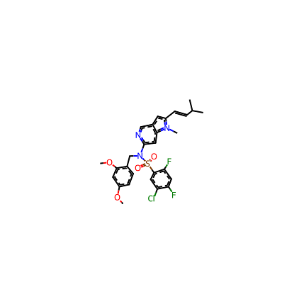 COc1ccc(CN(c2cc3c(cn2)cc(/C=C/C(C)C)n3C)S(=O)(=O)c2cc(Cl)c(F)cc2F)c(OC)c1